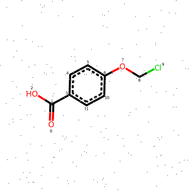 O=C(O)c1ccc(OCCl)cc1